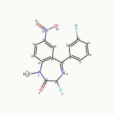 CN1C(=O)C(F)N=C(c2cccc(F)c2)c2cc([N+](=O)[O-])ccc21